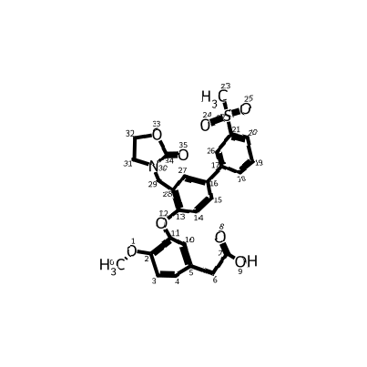 COc1ccc(CC(=O)O)cc1Oc1ccc(-c2cccc(S(C)(=O)=O)c2)cc1CN1CCOC1=O